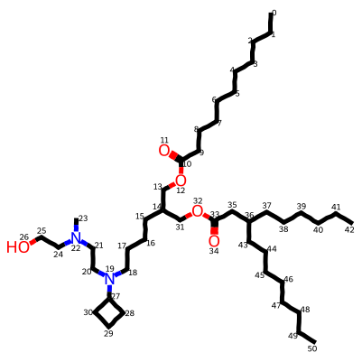 CCCCCCCCCCC(=O)OCC(CCCCN(CCN(C)CCO)C1CCC1)COC(=O)CC(CCCCCC)CCCCCCCC